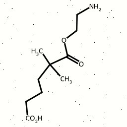 CC(C)(CCCC(=O)O)C(=O)OCCN